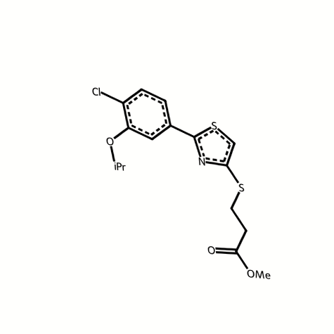 COC(=O)CCSc1csc(-c2ccc(Cl)c(OC(C)C)c2)n1